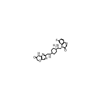 N[C@@H](Cn1c(=O)cnc2ccc(F)cc21)C1CCC(NCc2ncc3c(n2)NC(=O)CO3)CC1